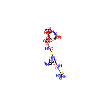 CC[C@H]1OC(=O)[C@H](C)[C@@H](O[C@H]2C[C@@](C)(OC)[C@@H](OCCCNC(=O)CCSSCCNC(=O)C(CCCCNC(=O)CCCCC3SCC4NC(=O)NC43)NC(=O)c3ccc(N=[N+]=[N-])cc3)[C@H](C)O2)[C@H](C)[C@@H](O[C@@H]2O[C@H](C)C[C@H](N(C)C)[C@H]2O)[C@](C)(O)C[C@@H](C)CN(C)[C@H](C)[C@@H](O)[C@]1(C)O